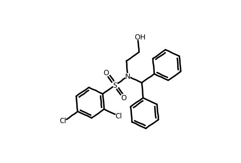 O=S(=O)(c1ccc(Cl)cc1Cl)N(CCO)C(c1ccccc1)c1ccccc1